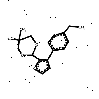 CCc1ccc(-c2ccsc2C2OCC(C)(C)CO2)cc1